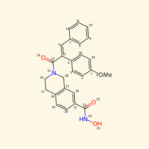 COc1ccc(C(=Cc2ccccc2)C(=O)N2CCc3ccc(C(=O)NO)cc3C2)cc1